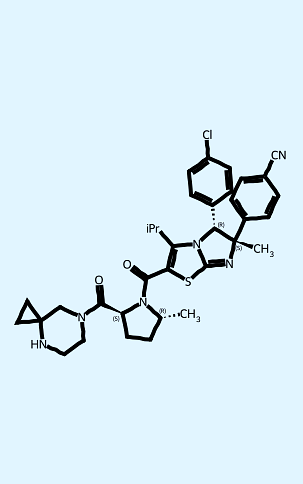 CC(C)C1=C(C(=O)N2[C@H](C)CC[C@H]2C(=O)N2CCNC3(CC3)C2)SC2=N[C@@](C)(c3ccc(C#N)cc3)[C@@H](c3ccc(Cl)cc3)N21